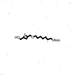 CCCCCCCCCCCCCCCCOCC1CC(CO)S1